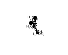 Cc1nn(COCC[Si](C)(C)C)c2ncc(OCc3c(F)ccc(N)c3F)c(-c3ccccc3)c12